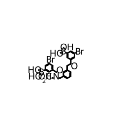 O=C(O)CN(Cc1cccc(CC(=O)c2cc(Br)cc(B(O)O)c2)c1)C(=O)c1cc(Br)cc(B(O)O)c1